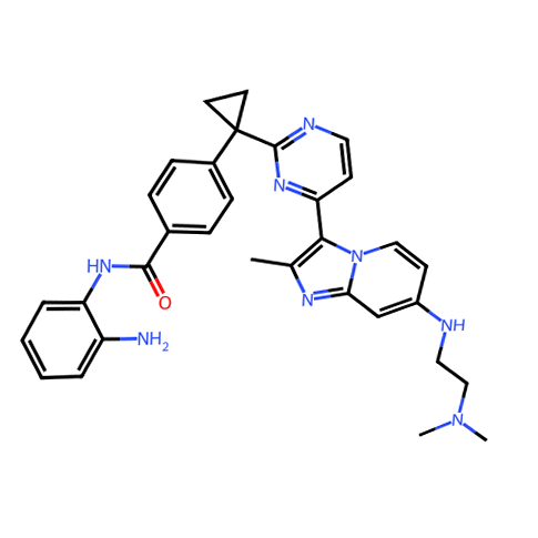 Cc1nc2cc(NCCN(C)C)ccn2c1-c1ccnc(C2(c3ccc(C(=O)Nc4ccccc4N)cc3)CC2)n1